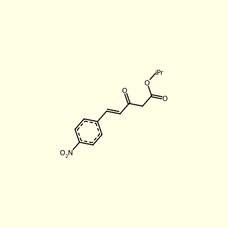 CC(C)OC(=O)CC(=O)C=Cc1ccc([N+](=O)[O-])cc1